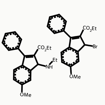 CCNC1C(C(=O)OCC)=C(c2ccccc2)c2ccc(OC)cc21.CCOC(=O)C1=C(c2ccccc2)c2ccc(OC)cc2C1Br